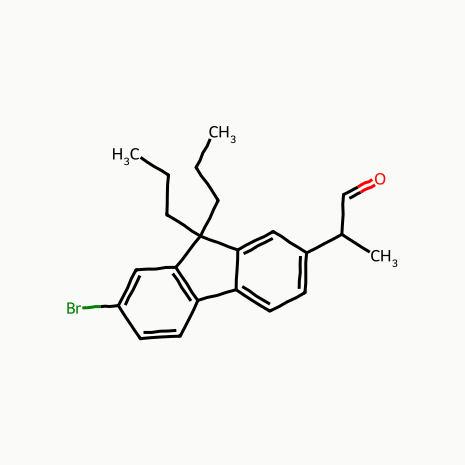 CCCC1(CCC)c2cc(Br)ccc2-c2ccc(C(C)C=O)cc21